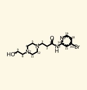 O=C(CCN1CCN(CCO)CC1)Nc1cc(Br)ccn1